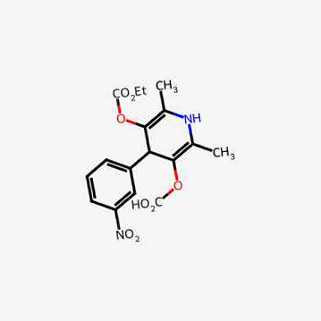 CCOC(=O)OC1=C(C)NC(C)=C(OC(=O)O)C1c1cccc([N+](=O)[O-])c1